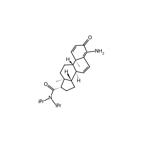 CC(C)N(C(=O)[C@H]1CC[C@H]2[C@@H]3C=CC4=C(N)C(=O)C=C[C@]4(C)[C@H]3CC[C@]12C)C(C)C